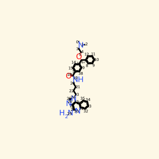 CN(C)CCOC(c1ccccc1)c1ccc(C(=O)NCCCCn2cnc3c(N)nc4ccccc4c32)cc1